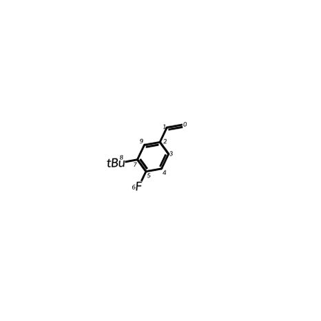 C=Cc1ccc(F)c(C(C)(C)C)c1